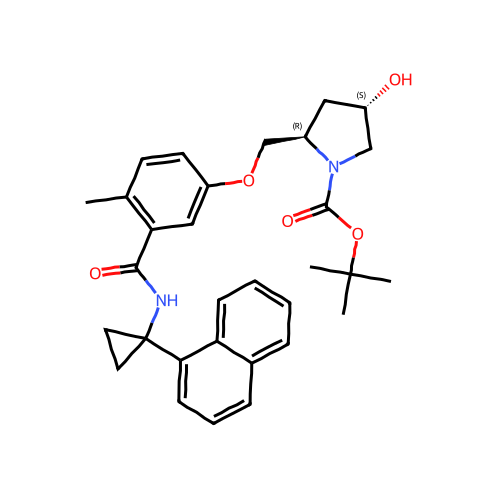 Cc1ccc(OC[C@H]2C[C@H](O)CN2C(=O)OC(C)(C)C)cc1C(=O)NC1(c2cccc3ccccc23)CC1